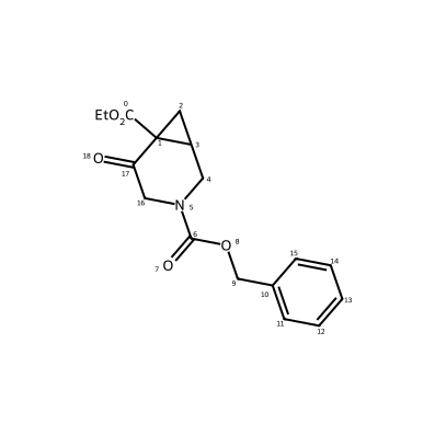 CCOC(=O)C12CC1CN(C(=O)OCc1ccccc1)CC2=O